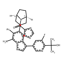 CC(=O)c1c(C2C[C@H]3CC[C@@H](C2)N3C(=O)c2ncn[nH]2)nc2c(-c3cnc(C(C)(C)O)c(F)c3)cnn2c1N